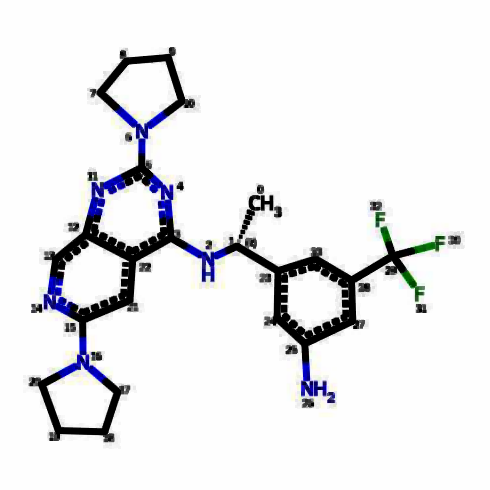 C[C@@H](Nc1nc(N2CCCC2)nc2cnc(N3CCCC3)cc12)c1cc(N)cc(C(F)(F)F)c1